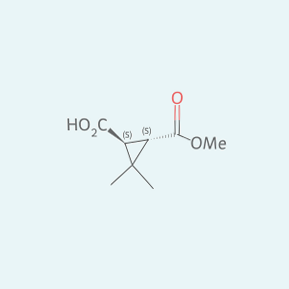 COC(=O)[C@H]1[C@H](C(=O)O)C1(C)C